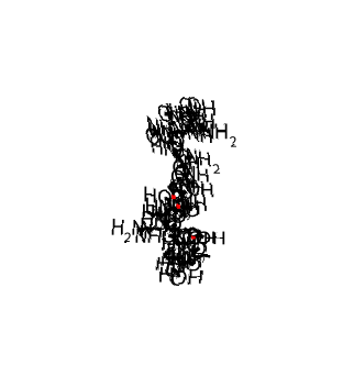 CC[C@H](C)[C@H](NC(=O)[C@H](CC(=O)O)NC(=O)[C@@H]1CCCN1)C(=O)N[C@H](C(=O)NCC(=O)N[C@@H](Cc1ccc(O)cc1)C(=O)N[C@@H](CCCNC(=N)N)C(=O)N[C@H](C(=O)N[C@H](C(=O)N[C@H](C(=O)N[C@H](C(=O)N1CCC[C@H]1C(=O)N[C@H](C(=O)N[C@@H](CC(N)=O)C(=O)NCC(=O)N[C@@H](CCC(N)=O)C(=O)N[C@@H](CCC(N)=O)C(=O)NCC(=O)N[C@@H](CC(N)=O)C(=O)N[C@@H](CO)C(=O)O)[C@@H](C)O)[C@@H](C)O)[C@@H](C)O)[C@@H](C)O)[C@@H](C)CC)[C@@H](C)O